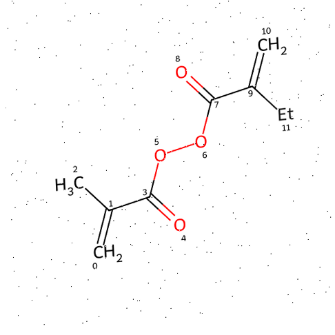 C=C(C)C(=O)OOC(=O)C(=C)CC